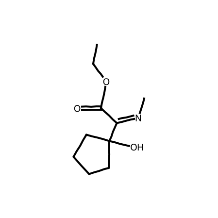 CCOC(=O)/C(=N\C)C1(O)CCCC1